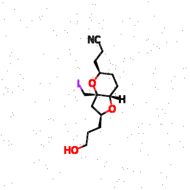 N#CCC[C@H]1CC[C@@H]2O[C@@H](CCCO)C[C@]2(CI)O1